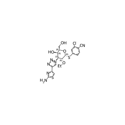 CCO[C@@H]1[C@@H](n2cc(-c3csc(N)n3)nn2)[C@@H](O)[C@@H](CO)O[C@@H]1Sc1ccc(C#N)c(Cl)c1